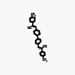 N#C/C(=C\c1ccc(-c2ccc(/C=C(\C#N)c3ccc(C(F)(F)F)cc3)cc2)cc1)c1ccc(C(F)(F)F)cc1